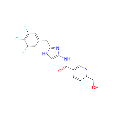 O=C(Nc1c[nH]c(Cc2cc(F)c(F)c(F)c2)n1)c1ccc(CO)nc1